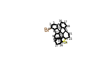 Brc1cccc2c1-c1ccccc1C21c2ccccc2C2C=Cc3sc4ccccc4c3C21